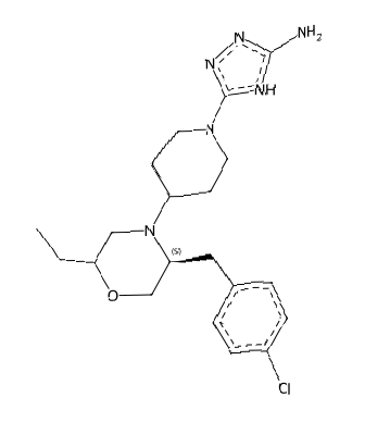 CCC1CN(C2CCN(c3nnc(N)[nH]3)CC2)[C@@H](Cc2ccc(Cl)cc2)CO1